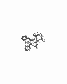 CC(C)C[C@H](NC(=O)C(Cc1ccccc1)NC(=O)c1cnccn1)B1OC(=O)[C@H](C)O[C@H](C)C(=O)O1